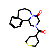 O=C(C1CCSCC1)N1CC(=O)N2CCCc3ccccc3C2C1